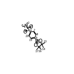 CN(C)S(=O)(=O)c1ccc(B2OC(C)(C)C(C)(C)O2)cc1